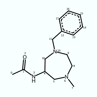 CC(=O)NC1CN(C)CCN(Cc2ccccc2)C1